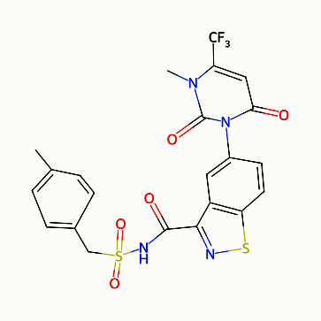 Cc1ccc(CS(=O)(=O)NC(=O)c2nsc3ccc(-n4c(=O)cc(C(F)(F)F)n(C)c4=O)cc23)cc1